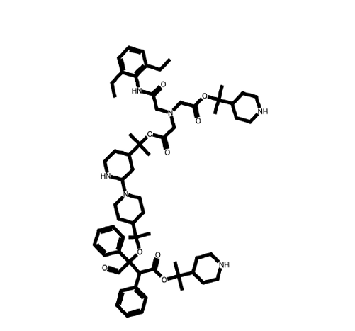 CCc1cccc(CC)c1NC(=O)CN(CC(=O)OC(C)(C)C1CCNCC1)CC(=O)OC(C)(C)C1CCNC(N2CCC(C(C)(C)OC(C=O)(c3ccccc3)C(C(=O)OC(C)(C)C3CCNCC3)c3ccccc3)CC2)C1